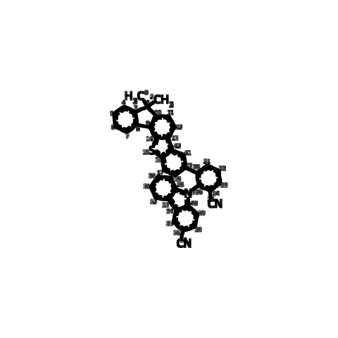 CC1(C)c2ccccc2-c2c1ccc1c2sc2ccc(-c3cccc(C#N)c3-n3c4ccccc4c4cc(C#N)ccc43)cc21